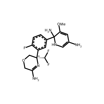 COC1=CC(N)=CNC1(N)c1ccc(F)c([C@]2(C(F)F)COCC(N)=N2)c1